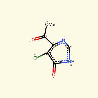 COC(=O)c1nc[nH]c(=O)c1Cl